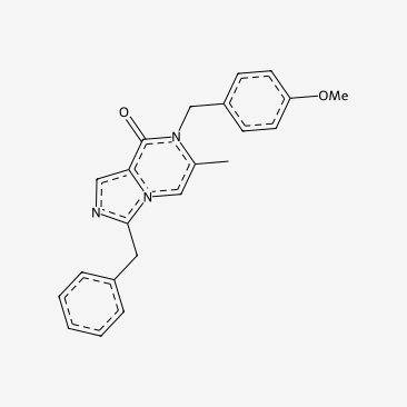 COc1ccc(Cn2c(C)cn3c(Cc4ccccc4)ncc3c2=O)cc1